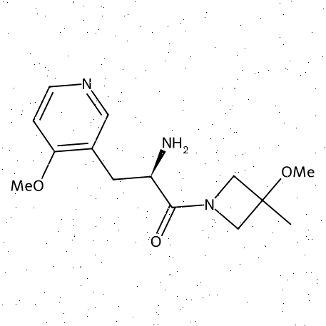 COc1ccncc1C[C@@H](N)C(=O)N1CC(C)(OC)C1